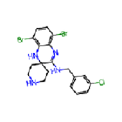 Clc1cccc(CNC2=Nc3c(Br)ccc(Br)c3NC23CCNCC3)c1